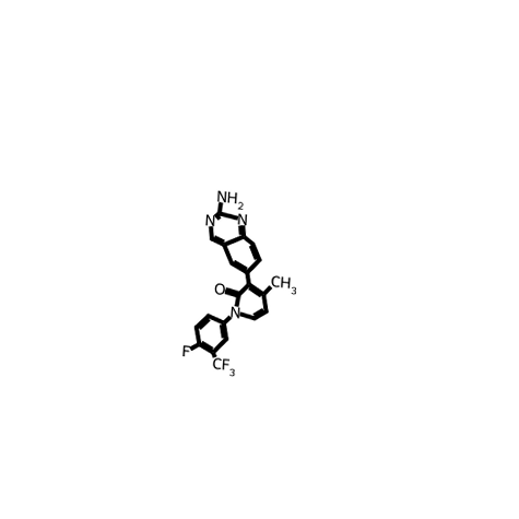 Cc1ccn(-c2ccc(F)c(C(F)(F)F)c2)c(=O)c1-c1ccc2nc(N)ncc2c1